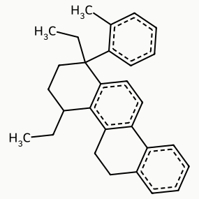 CCC1CCC(CC)(c2ccccc2C)c2ccc3c(c21)CCc1ccccc1-3